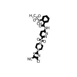 CN(c1ccccc1C(=O)Nc1ccc(S(=O)(=O)N2CCN(c3nc(Cl)c(C#N)s3)CC2)nn1)S(C)(=O)=O